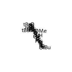 COc1cc(NC(=O)c2cc(F)c(C3=CCN(C=NC(=O)OC(C)(C)C)CC3)cc2F)ccc1C1=CCN(C(=NC(=O)OC(C)(C)C)NC(=O)OC(C)(C)C)CC1